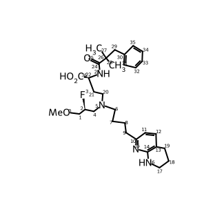 COC[C@@H](F)CN(CCCCc1ccc2c(n1)NCCC2)CC[C@H](NC(=O)C(C)(C)Cc1ccccc1)C(=O)O